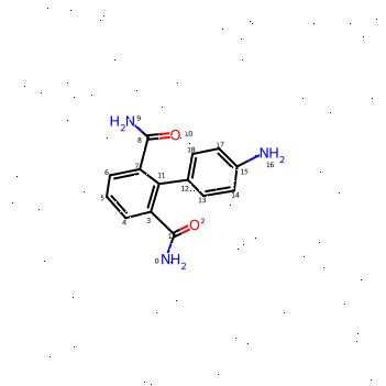 NC(=O)c1cccc(C(N)=O)c1-c1ccc(N)cc1